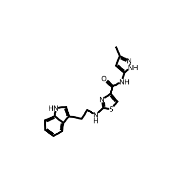 Cc1cc(NC(=O)c2csc(NCCc3c[nH]c4ccccc34)n2)[nH]n1